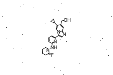 OCc1cc2ncc(-c3cccc(N[C@H]4CCCC[C@@H]4F)n3)n2cc1C1CC1